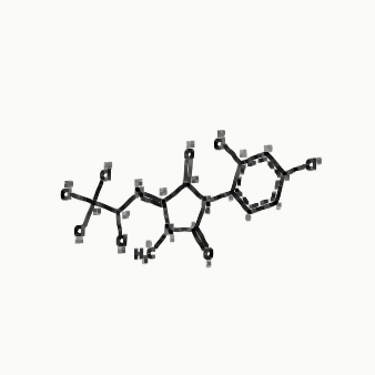 CN1C(=O)N(c2ccc(Cl)cc2Cl)C(=O)/C1=N/C(Cl)C(Cl)(Cl)Cl